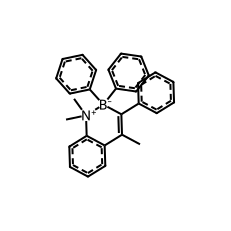 CC1=C(c2ccccc2)[B-](c2ccccc2)(c2ccccc2)[N+](C)(C)c2ccccc21